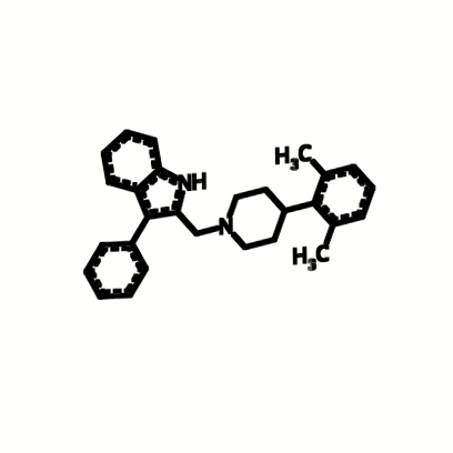 Cc1cccc(C)c1C1CCN(Cc2[nH]c3ccccc3c2-c2ccccc2)CC1